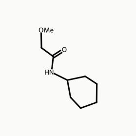 [CH2]OCC(=O)NC1CCCCC1